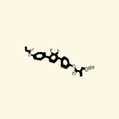 C=CC(=O)Oc1ccc(-c2ccc(-c3ccc(OC(=O)C(=C)COC)cc3)c(F)c2F)cc1